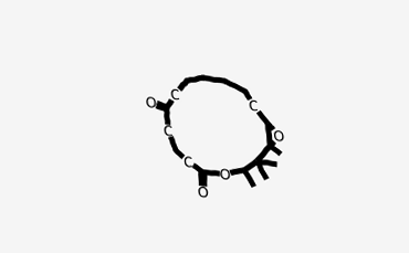 CC1OC(=O)CCCC(=O)CCCCCCC2OC2(C)C1(C)C